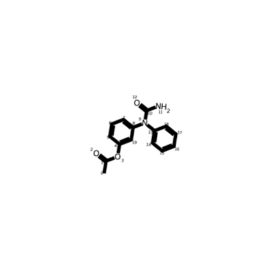 CC(=O)Oc1cccc(N(C(N)=O)c2ccccc2)c1